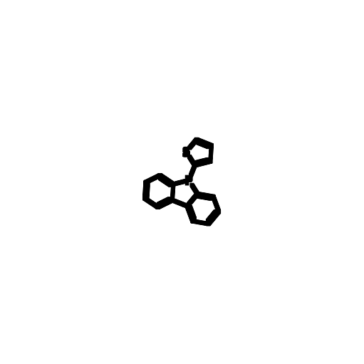 c1csc(-p2c3ccccc3c3ccccc32)c1